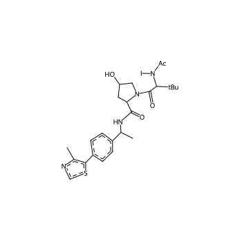 CC(=O)N(I)C(C(=O)N1CC(O)CC1C(=O)NC(C)c1ccc(-c2scnc2C)cc1)C(C)(C)C